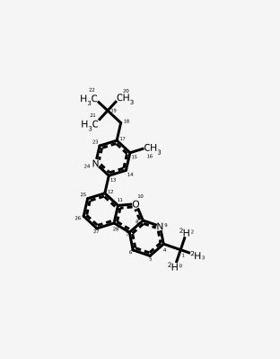 [2H]C([2H])([2H])c1ccc2c(n1)oc1c(-c3cc(C)c(CC(C)(C)C)cn3)cccc12